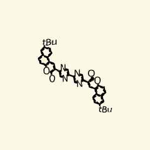 CC(C)(C)c1ccc2c(ccc3oc(=O)c(-c4cnc(-c5cnc(-c6cc7c(ccc8cc(C(C)(C)C)ccc87)oc6=O)cn5)cn4)cc32)c1